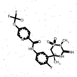 CN1C(=N)N[C@](C)(c2cc(NC(=O)c3ccc(OC(F)(F)Cl)cn3)ccc2F)CS1(=O)=O